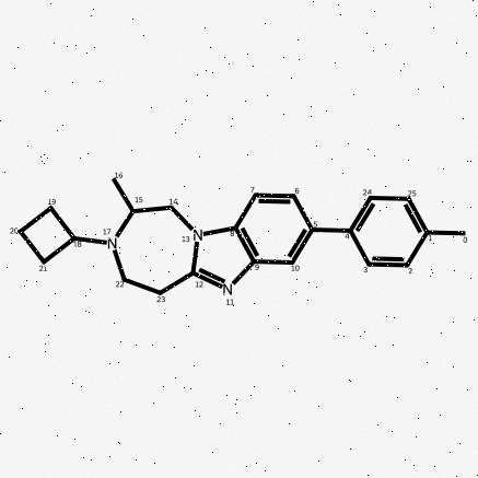 Cc1ccc(-c2ccc3c(c2)nc2n3CC(C)N(C3CCC3)CC2)cc1